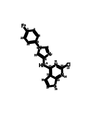 Fc1ccc(-n2cnc(Nc3nc(Cl)nc4sccc34)c2)cc1